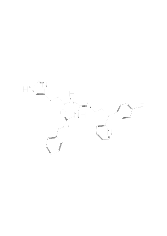 O=C(NC(=NCCC(c1ccc(F)cc1)c1ccccn1)NCCCc1c[nH]cn1)OCc1ccccc1